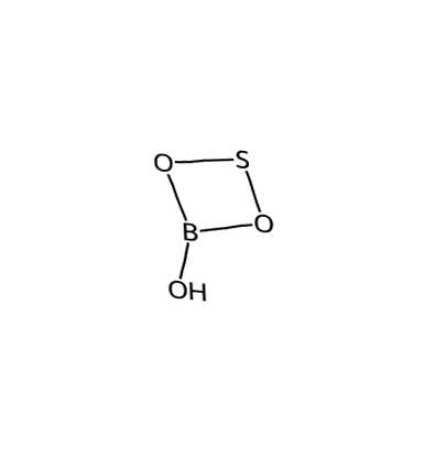 OB1OSO1